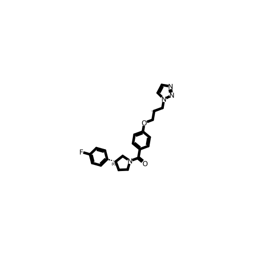 O=C(c1ccc(OC[CH]Cn2ccnn2)cc1)N1CC[C@H](c2ccc(F)cc2)C1